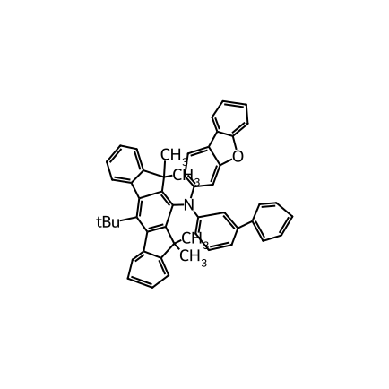 CC(C)(C)c1c2c(c(N(c3cccc(-c4ccccc4)c3)c3ccc4c(c3)oc3ccccc34)c3c1-c1ccccc1C3(C)C)C(C)(C)c1ccccc1-2